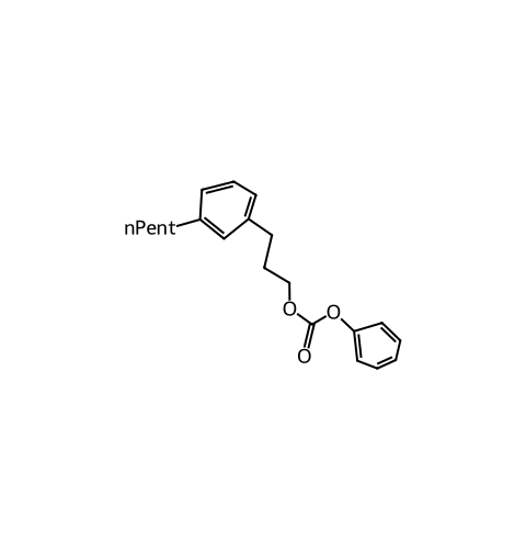 CCCCCc1cccc(CCCOC(=O)Oc2ccccc2)c1